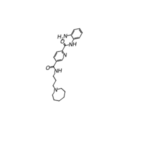 Nc1ccccc1NC(=O)c1ccc(C(=O)NCCCN2CCCCCC2)cn1